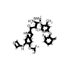 CNN(/C(N)=C(\C)C(=O)c1cc2cc(OC(F)F)c(NC3COC3)cc2[nH]1)c1cnc(Oc2c(F)cccc2F)cc1C